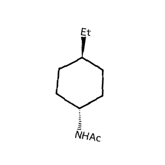 CC[C@H]1CC[C@H](NC(C)=O)CC1